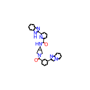 O=C(NC1C2CN(C(=O)c3cccc(-c4cn5ccccc5n4)c3)CC21)c1cccc(-c2nc3ccccc3[nH]2)n1